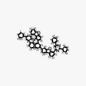 c1ccc(-c2ccc3c(c2)c2ccccc2n3-c2c(-c3cccc(-c4ccc5c(c4)oc4c(-c6nc(-c7ccccc7)nc(-c7ccccc7)n6)cccc45)c3)ccc3oc4ccccc4c23)cc1